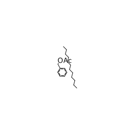 CC(=O)OCc1ccccc1.CCCCCCCCCCCC